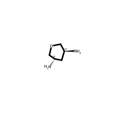 N[C@@H]1COC[C@@H](N)C1